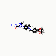 Cc1nc(C(N)=O)nn1-c1ccc2c(ccn2Cc2ccc(B3OC(C)(C)C(C)(C)O3)cc2)c1